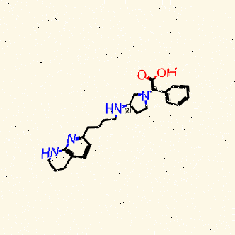 O=C(O)[C@H](c1ccccc1)N1CC[C@@H](NCCCCc2ccc3c(n2)NCCC3)C1